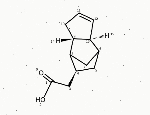 O=C(O)C[C@@H]1CC2CC1[C@@H]1CC=C[C@@H]21